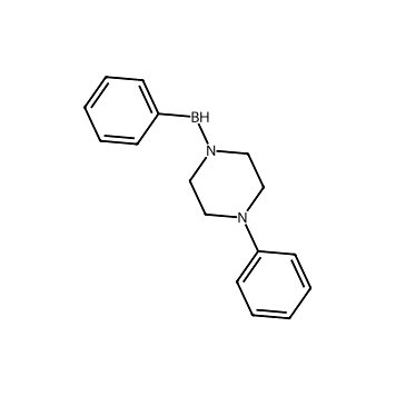 B(c1ccccc1)N1CCN(c2ccccc2)CC1